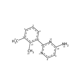 Cc1cccc(-c2nccc(N)n2)c1C